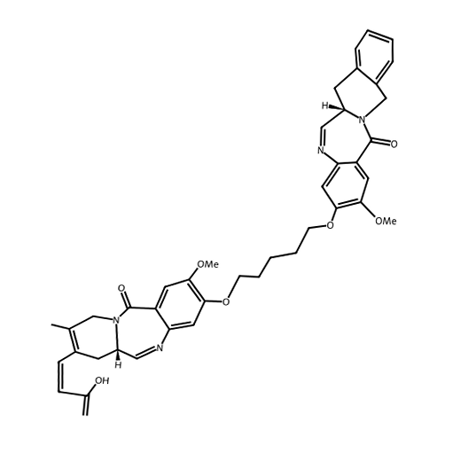 C=C(O)/C=C\C1=C(C)CN2C(=O)c3cc(OC)c(OCCCCCOc4cc5c(cc4OC)C(=O)N4Cc6ccccc6C[C@H]4C=N5)cc3N=C[C@@H]2C1